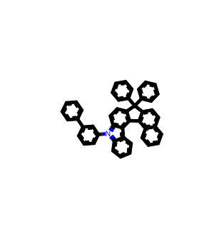 c1ccc(-c2cccc(-n3c4ccccc4c4c5c(ccc43)C(c3ccccc3)(c3ccccc3)c3ccc4ccccc4c3-5)c2)cc1